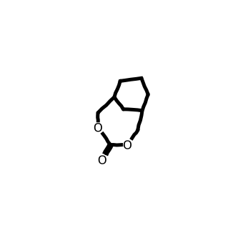 O=C1OCC2CCCC(CO1)C2